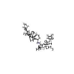 Cc1cc2[nH]nc(/C=C/c3cccc(NC(=O)NCCN4CCCC4)c3)c2cc1NC(=O)Cc1cccs1